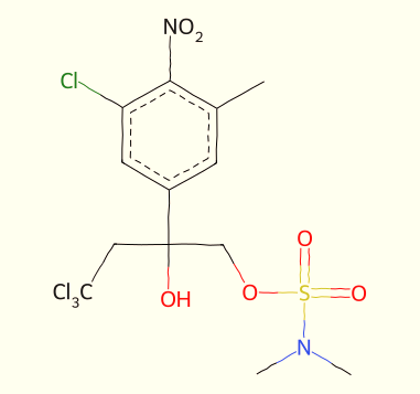 Cc1cc(C(O)(COS(=O)(=O)N(C)C)CC(Cl)(Cl)Cl)cc(Cl)c1[N+](=O)[O-]